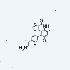 COc1cc(C)c2[nH]c(=O)c3c(c2c1-c1ccc([C@@H](C)CN)c(F)c1)CCS3